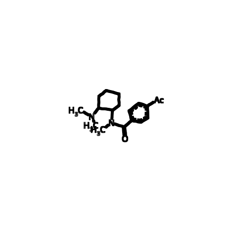 CC(=O)c1ccc(C(=O)N(C)C2CCCCC2N(C)C)cc1